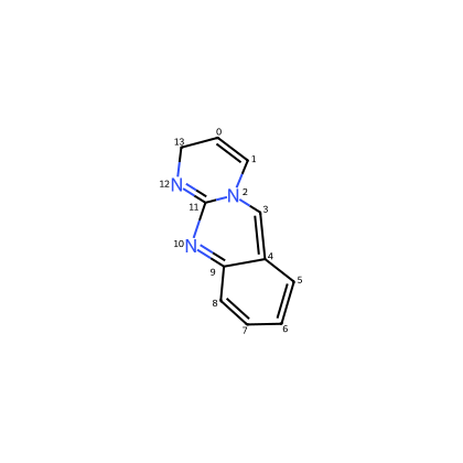 C1=CN2C=c3ccccc3=NC2=NC1